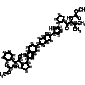 COC(=O)N[C@H](C(=O)N1CCC[C@H]1c1ncc(-c2cc3sc(-c4ccc5[nH]c(C6CCCN6C(=O)[C@H](NC(=O)OC)c6ccccc6)nc5c4)cc3s2)[nH]1)C(C)C